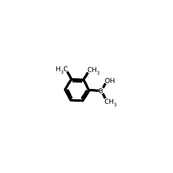 CB(O)c1cccc(C)c1C